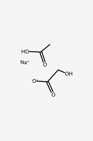 CC(=O)O.O=C([O-])CO.[Na+]